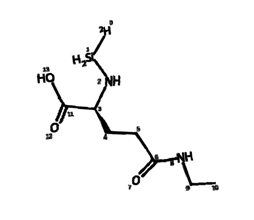 [2H][SiH2]N[C@@H](CCC(=O)NCC)C(=O)O